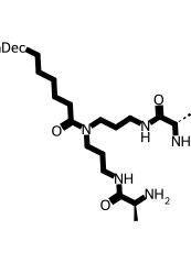 CCCCCCCCCCCCCCCC(=O)N(CCCNC(=O)[C@H](C)N)CCCNC(=O)[C@H](C)N